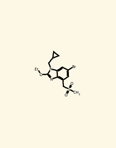 CCOc1nc2c(CS(C)(=O)=O)cc(Br)cc2n1CC1CC1